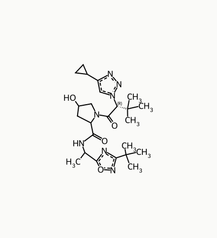 CC(NC(=O)C1CC(O)CN1C(=O)[C@H](n1cc(C2CC2)nn1)C(C)(C)C)c1nc(C(C)(C)C)no1